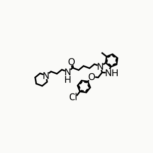 Cc1cccc2c1N(CCCCC(=O)NCCCN1CCCCC1)C(COc1ccc(Cl)cc1)N2